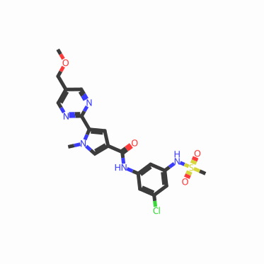 COCc1cnc(-c2cc(C(=O)Nc3cc(Cl)cc(NS(C)(=O)=O)c3)cn2C)nc1